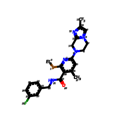 CCSc1nc(N2CCn3cc(C(F)(F)F)nc3C2)cc(C)c1C(=O)NCc1cccc(F)c1